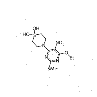 CCOc1nc(SC)nc(N2CCS(O)(O)CC2)c1[N+](=O)[O-]